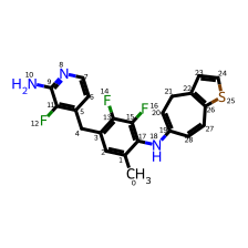 Cc1cc(Cc2ccnc(N)c2F)c(F)c(F)c1NC1=CCc2ccsc2C=C1